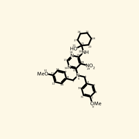 COc1ccc(CN(Cc2ccc(OC)cc2)c2ncnc(NC3(O)CCCCC3)c2[N+](=O)[O-])cc1